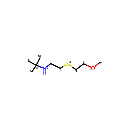 COCCSCCNC(C)(C)C